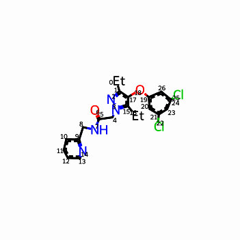 CCc1nn(CC(=O)NCc2ccccn2)c(CC)c1Oc1cc(Cl)cc(Cl)c1